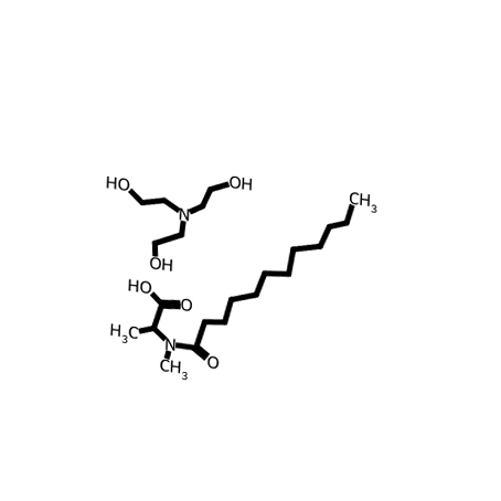 CCCCCCCCCCCC(=O)N(C)C(C)C(=O)O.OCCN(CCO)CCO